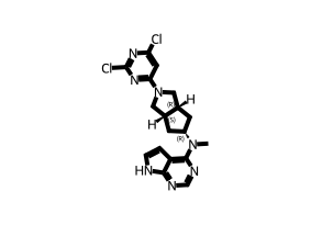 CN(c1ncnc2[nH]ccc12)[C@@H]1C[C@@H]2CN(c3cc(Cl)nc(Cl)n3)C[C@@H]2C1